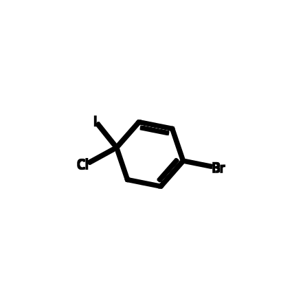 ClC1(I)C=CC(Br)=CC1